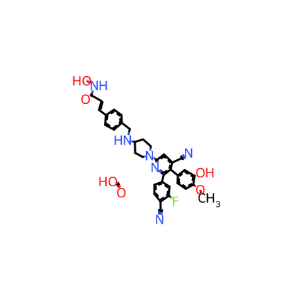 COc1ccc(-c2c(C#N)cc(N3CCC(NCc4ccc(/C=C/C(=O)NO)cc4)CC3)nc2-c2ccc(C#N)c(F)c2)cc1O.O=CO